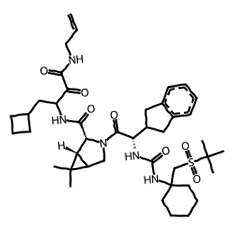 C=CCNC(=O)C(=O)C(CC1CCC1)NC(=O)[C@@H]1[C@@H]2C(CN1C(=O)[C@@H](NC(=O)NC1(CS(=O)(=O)C(C)(C)C)CCCCC1)C1Cc3ccccc3C1)C2(C)C